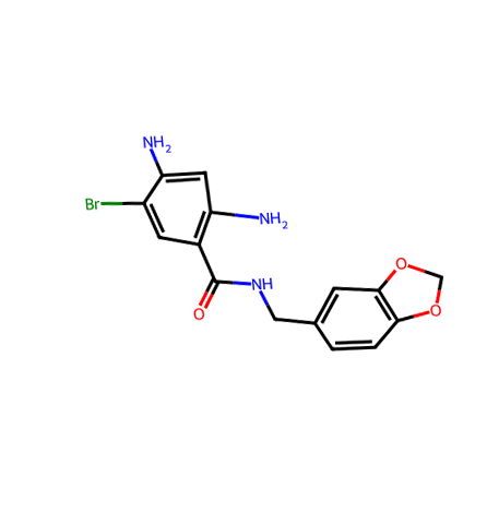 Nc1cc(N)c(C(=O)NCc2ccc3c(c2)OCO3)cc1Br